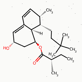 CC[C@H](C)C(=O)O[C@H]1C[C@H](O)C=C2C=C[C@H](C)[C@H](CCC(C)(C)C)[C@H]21